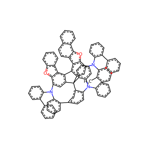 Cc1ccccc1N(c1ccccc1-c1ccccc1)c1cc2c(c3c1oc1c4ccccc4ccc13)-c1c3cc(c4oc5ccccc5c14)N(c1ccccc1-c1ccccc1)c1ccccc1-c1ccc4c(c1)C32c1ccccc1N4c1ccccc1